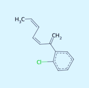 C=C(/C=C\C=C/C)c1ccccc1Cl